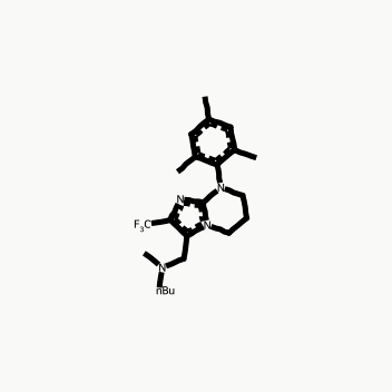 CCCCN(C)Cc1c(C(F)(F)F)nc2n1CCCN2c1c(C)cc(C)cc1C